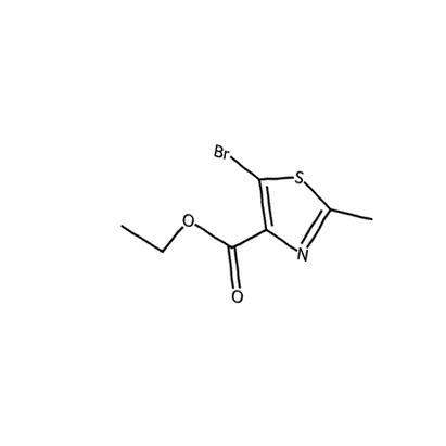 CCOC(=O)c1nc(C)sc1Br